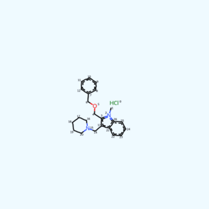 Cl.Cn1c(COCc2ccccc2)c(CN2CCCCC2)c2ccccc21